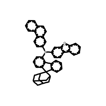 c1ccc2c(c1)-c1c(N(c3ccc4c(ccc5ccccc54)c3)c3ccc4c(c3)oc3ccccc34)cccc1C21C2CC3CC(C2)CC1C3